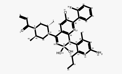 C=CC(=O)N1C[C@H](C)N(C2=NS(O)(O)N(c3c(C)cc(N)nc3CCC)c3nc(-c4ccccc4F)c(Cl)cc32)C[C@H]1C